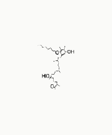 CCCCCCCCOC1=C(C)C(C)C(O)C=C1CCC(C)CCCC(C)CCCC(C)(O)CCCC(C)C(C)=O